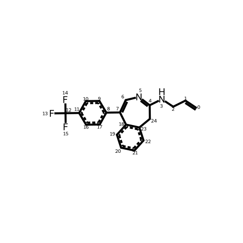 C=CCNC1=NC=C(c2ccc(C(F)(F)F)cc2)c2ccccc2C1